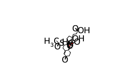 CC(=O)S[C@H]1CC2=CC(=O)CC[C@@]23COC(=O)[C@]24CCC3[C@@H]1[C@@H]2CC[C@]4(O)CCC(=O)O